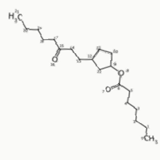 CCCCCCC(=O)OC1CCC(CCC(=O)CCCCC)C1